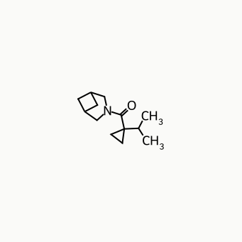 CC(C)C1(C(=O)N2CC3CC(C3)C2)CC1